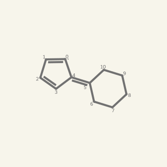 [C]1=CC=CC1=C1CCCCC1